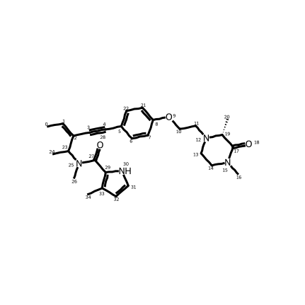 C/C=C(/C#Cc1ccc(OCCN2CCN(C)C(=O)[C@H]2C)cc1)C(C)N(C)C(=O)c1[nH]ccc1C